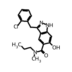 CCCN(C)C(=O)c1cc2c(Cc3ccccc3Cl)n[nH]c2cc1O